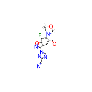 C[C@@H]1CN(c2c(C=O)cc3c(-n4cnc(C#N)n4)noc3c2F)C[C@H](C)O1